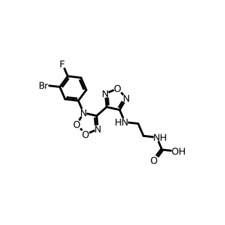 O=C(O)NCCNc1nonc1C1=NOON1c1ccc(F)c(Br)c1